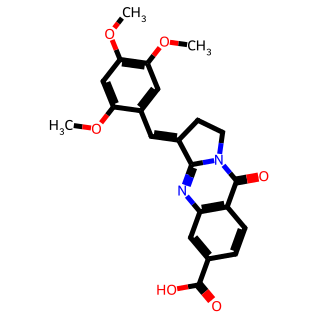 COc1cc(OC)c(OC)cc1/C=C1\CCn2c1nc1cc(C(=O)O)ccc1c2=O